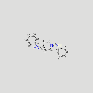 C1=CN(Nc2ccccc2)CC=C1Nc1ccccc1